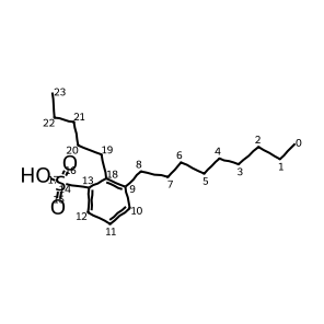 CCCCCCCCCc1cccc(S(=O)(=O)O)c1CCCCC